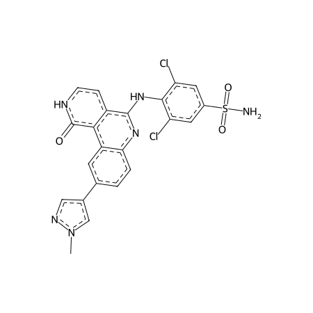 Cn1cc(-c2ccc3nc(Nc4c(Cl)cc(S(N)(=O)=O)cc4Cl)c4cc[nH]c(=O)c4c3c2)cn1